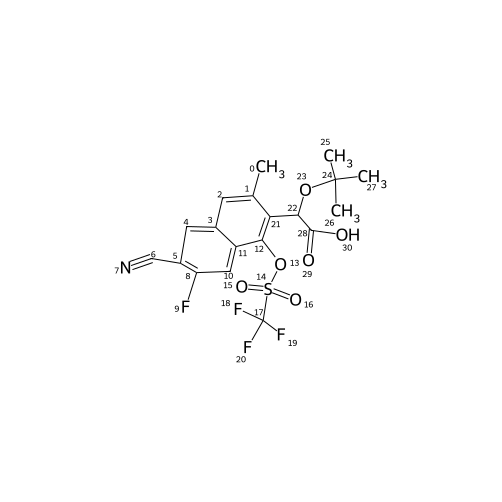 Cc1cc2cc(C#N)c(F)cc2c(OS(=O)(=O)C(F)(F)F)c1C(OC(C)(C)C)C(=O)O